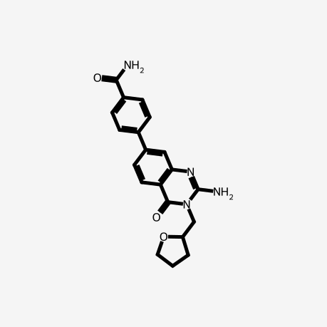 NC(=O)c1ccc(-c2ccc3c(=O)n(CC4CCCO4)c(N)nc3c2)cc1